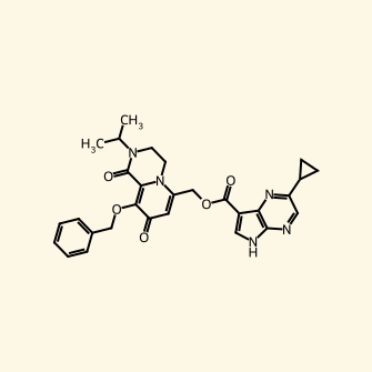 CC(C)N1CCn2c(COC(=O)c3c[nH]c4ncc(C5CC5)nc34)cc(=O)c(OCc3ccccc3)c2C1=O